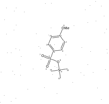 COc1ccc(S(=O)(=O)O[Si](C)(C)C)cc1